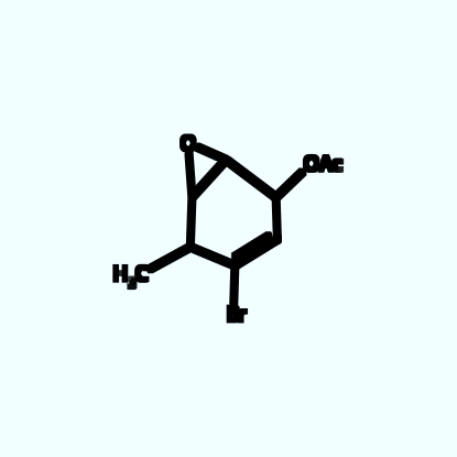 CC(=O)OC1C=C(Br)C(C)C2OC12